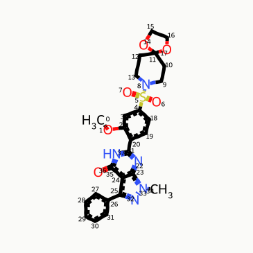 COc1cc(S(=O)(=O)N2CCC3(CC2)OCCO3)ccc1-c1nc2c(c(-c3ccccc3)nn2C)c(=O)[nH]1